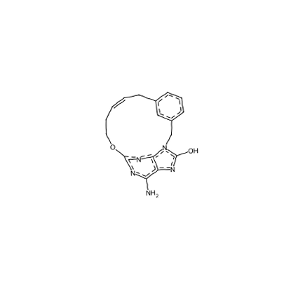 Nc1nc2nc3c1nc(O)n3Cc1cccc(c1)C/C=C\CCO2